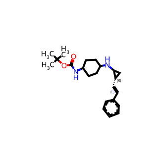 CC(C)(C)OC(=O)NC1CCC(NC2C[C@@H]2/C=C/c2ccccc2)CC1